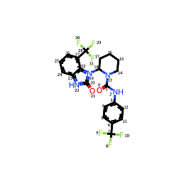 O=C(Nc1ccc(C(F)(F)F)cc1)N1CCCCC1n1c(=O)[nH]c2cccc(C(F)(F)F)c21